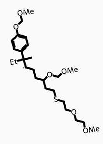 CCC(C)([CH]CCC(CCSCCOCCOC)OCOC)c1ccc(OCOC)cc1